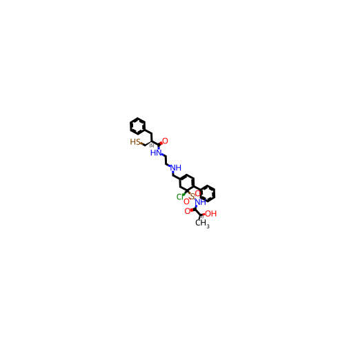 C[C@H](O)C(=O)NS(=O)(=O)C1(Cl)CC(CNCCNC(=O)[C@@H](CS)Cc2ccccc2)=CC=C1c1ccccc1